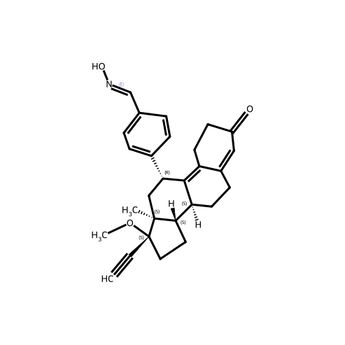 C#C[C@]1(OC)CC[C@H]2[C@@H]3CCC4=CC(=O)CCC4=C3[C@@H](c3ccc(/C=N/O)cc3)C[C@@]21C